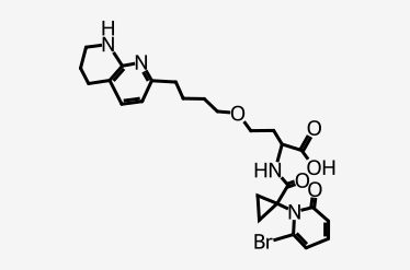 O=C(O)C(CCOCCCCc1ccc2c(n1)NCCC2)NC(=O)C1(n2c(Br)cccc2=O)CC1